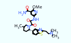 COc1ncc(NC(=O)C(=O)N2C[C@H](C)CC[C@H]2c2ccc3sc(CCN(C)C)nc3c2)cc1C(N)=O